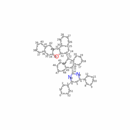 c1ccc(-c2cc(-c3ccccc3)nc(-c3c4ccccc4c(-c4cc5ccccc5c5c4oc4cc6ccccc6cc45)c4ccccc34)n2)cc1